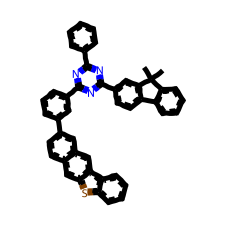 CC1(C)c2ccccc2-c2ccc(-c3nc(-c4ccccc4)nc(-c4cccc(-c5ccc6cc7sc8ccccc8c7cc6c5)c4)n3)cc21